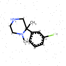 CN1CCNCC1(C)c1cccc(F)c1